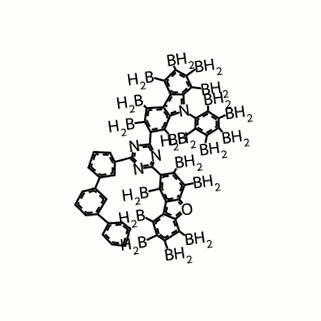 Bc1c(B)c(B)c(-n2c3c(B)c(B)c(B)c(B)c3c3c(B)c(B)c(-c4nc(-c5cccc(-c6cccc(-c7ccccc7)c6)c5)nc(-c5c(B)c(B)c6oc7c(B)c(B)c(B)c(B)c7c6c5B)n4)c(B)c32)c(B)c1B